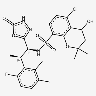 Cc1ccc(F)c([C@@H](C)[C@H](NS(=O)(=O)c2ccc(Cl)c3c2OC(C)(C)CC3O)c2n[nH]c(=O)o2)c1C